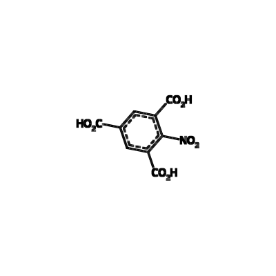 O=C(O)c1cc(C(=O)O)c([N+](=O)[O-])c(C(=O)O)c1